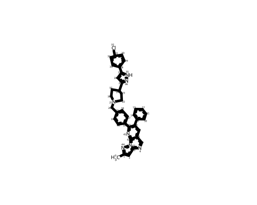 Cc1cc2ncc3cc(-c4ccccc4)c(-c4ccc(CN5CCC(c6cc(-c7ccc(Cl)cc7)[nH]n6)CC5)cc4)nc3n2n1